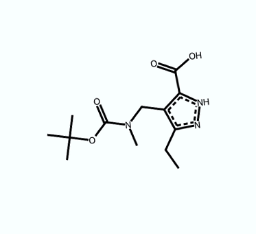 CCc1n[nH]c(C(=O)O)c1CN(C)C(=O)OC(C)(C)C